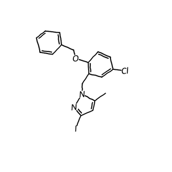 Cc1cc(I)nn1Cc1cc(Cl)ccc1OCc1ccccc1